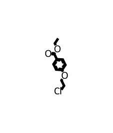 CCOC(=O)c1ccc(OCCCl)cc1